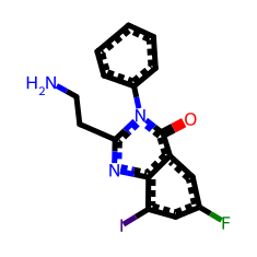 NCCc1nc2c(I)cc(F)cc2c(=O)n1-c1ccccc1